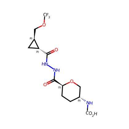 O=C(O)N[C@@H]1CC[C@@H](C(=O)NNC(=O)[C@@H]2C[C@H]2COC(F)(F)F)OC1